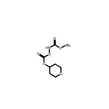 CC(C)(C)OC(=O)NOC(=O)OC1CCOCC1